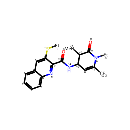 CCSc1cc2ccccc2nc1C(=O)NC1C=C(C(F)(F)F)N(CC)C(=O)C1NC